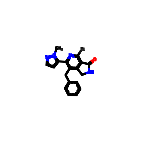 CCc1nc(-c2ccnn2C)c(Cc2ccccc2)c2c1C(=O)NC2